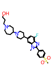 Cn1c(-c2ccc(S(C)(=O)=O)cc2)nc2c(F)cc(C3CCN(C4CCCN(CCCO)CC4)CC3)cc21